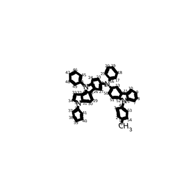 Cc1ccc(-n2c3ccccc3c3cc(N(c4ccccc4)c4ccc5c(c4)c4ccc6c(ccn6-c6ccccc6)c4n5-c4ccccc4)ccc32)cc1